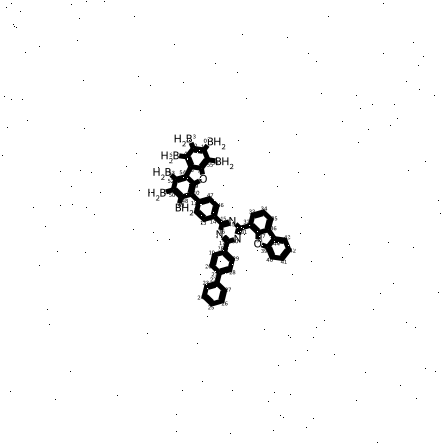 Bc1c(B)c(B)c2c(oc3c(-c4ccc(-c5nc(-c6ccc(-c7ccccc7)cc6)nc(-c6cccc7c6oc6ccccc67)n5)cc4)c(B)c(B)c(B)c32)c1B